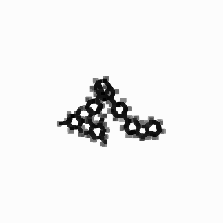 Cc1cc(C)c(B(c2ccc(C34CC5CC(C3)CC(c3ccc(-c6ccc7sc8ccccc8c7c6)cc3)(C5)C4)cc2)c2c(C)cc(C)cc2C)c(C)c1